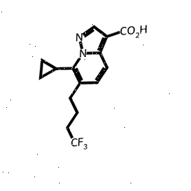 O=C(O)c1cnn2c(C3CC3)c(CCCC(F)(F)F)ccc12